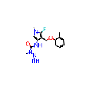 Cc1ccccc1OCc1c(NC(=O)N(C)N=N)cn(C)c1F